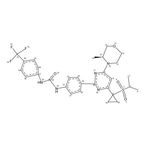 CC(C)S(=O)(=O)C1(c2cc(N3CCOC[C@@H]3C)nc(-c3ccc(NC(=O)Nc4ccc(C(F)(F)F)cc4)cc3)n2)CC1